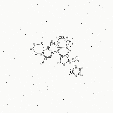 Cc1cc2c(c(-c3cc(F)c4c(c3C)CCCO4)c1CC(=O)O)CCN2C(=O)c1ccco1